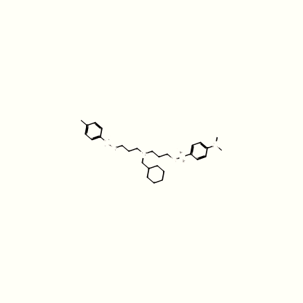 Cc1ccc(S(=O)(=O)NCCCN(CCCNS(=O)(=O)c2ccc(N(C)C)cc2)CC2CCCCC2)cc1